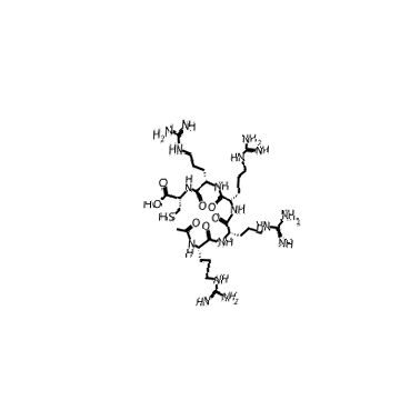 CC(=O)N[C@@H](CCCNC(=N)N)C(=O)N[C@@H](CCCNC(=N)N)C(=O)N[C@@H](CCCNC(=N)N)C(=O)N[C@@H](CCCNC(=N)N)C(=O)N[C@H](CS)C(=O)O